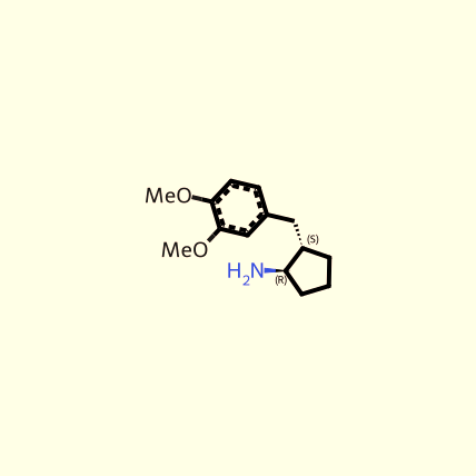 COc1ccc(C[C@@H]2CCC[C@H]2N)cc1OC